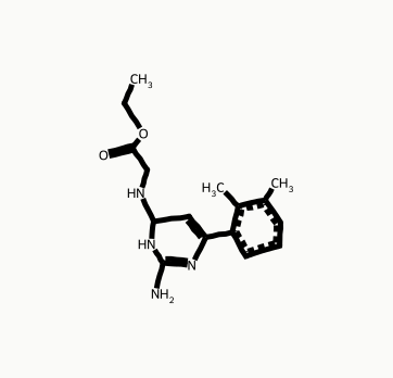 CCOC(=O)CNC1C=C(c2cccc(C)c2C)N=C(N)N1